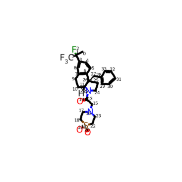 CC(F)(c1ccc2c(c1)CC[C@H]1N(C(=O)CN3CCS(=O)(=O)CC3)CC[C@@]21Cc1ccccc1)C(F)(F)F